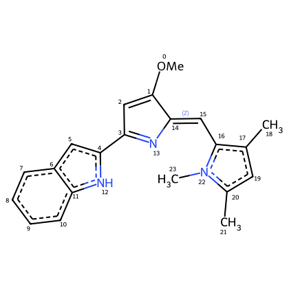 COC1=CC(c2cc3ccccc3[nH]2)=N/C1=C\c1c(C)cc(C)n1C